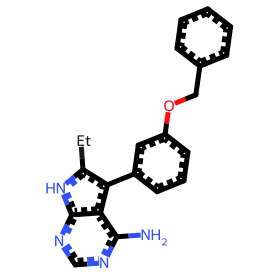 CCc1[nH]c2ncnc(N)c2c1-c1cccc(OCc2ccccc2)c1